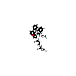 COC(=O)C(N1C(=O)C[C@H]1SC(=O)CCOC(C)=O)=P(c1ccccc1)(c1ccccc1)c1ccccc1